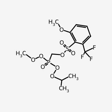 COOP(=O)(COS(=O)(=O)c1c(OC)cccc1C(F)(F)F)OOC(C)C